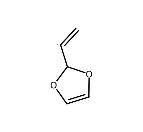 C=[C]C1OC=CO1